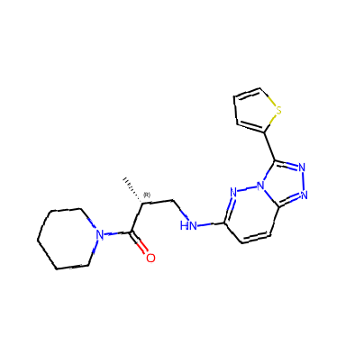 C[C@H](CNc1ccc2nnc(-c3cccs3)n2n1)C(=O)N1CCCCC1